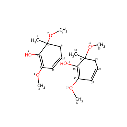 COC1=C(O)C(C)(OC)CC=C1.COC1=C(O)C(C)(OC)CC=C1